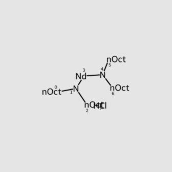 CCCCCCCC[N](CCCCCCCC)[Nd][N](CCCCCCCC)CCCCCCCC.Cl